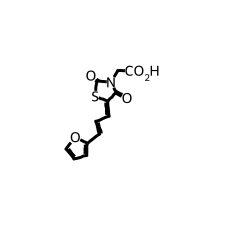 O=C(O)CN1C(=O)SC(=CC=Cc2ccco2)C1=O